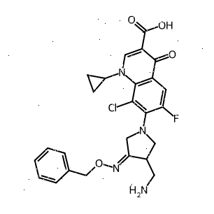 NCC1CN(c2c(F)cc3c(=O)c(C(=O)O)cn(C4CC4)c3c2Cl)CC1=NOCc1ccccc1